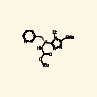 CCn1c(SC)nnc1[C@@H](Cc1cccnc1)NC(=O)OC(C)(C)C